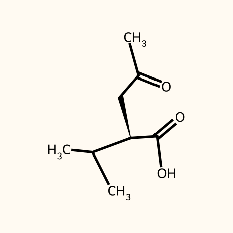 CC(=O)C[C@@H](C(=O)O)C(C)C